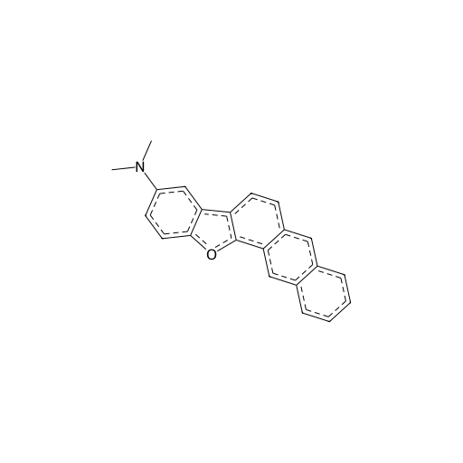 CN(C)c1ccc2oc3c4cc5ccccc5cc4ccc3c2c1